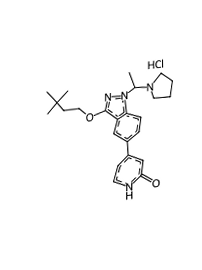 CC(N1CCCC1)n1nc(OCCC(C)(C)C)c2cc(-c3cc[nH]c(=O)c3)ccc21.Cl